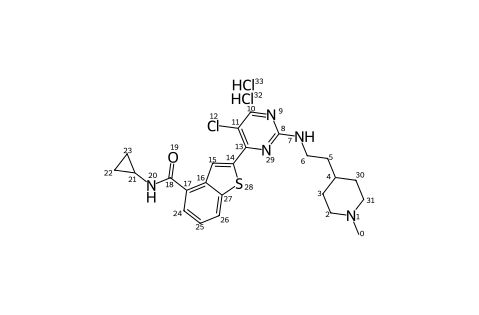 CN1CCC(CCNc2ncc(Cl)c(-c3cc4c(C(=O)NC5CC5)cccc4s3)n2)CC1.Cl.Cl